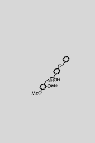 COc1ccc(CNCC(O)c2ccc(OCc3ccccc3)cc2)c(OC)c1